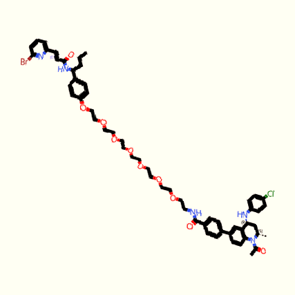 CCCC(NC(=O)/C=C/c1cccc(Br)n1)c1ccc(OCCOCCOCCOCCOCCOCCOCCNC(=O)c2ccc(-c3ccc4c(c3)[C@H](Nc3ccc(Cl)cc3)C[C@H](C)N4C(C)=O)cc2)cc1